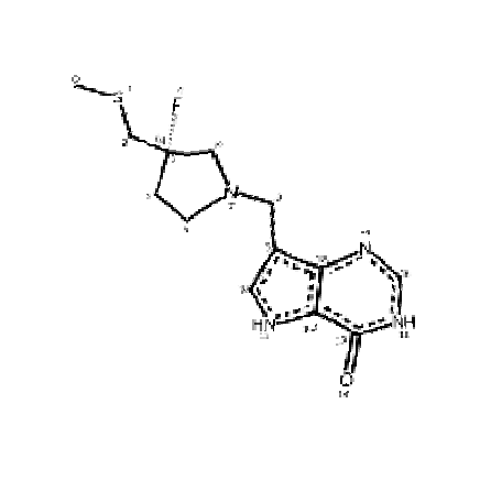 CSC[C@]1(F)CCN(Cc2c[nH]c3c(=O)[nH]cnc23)C1